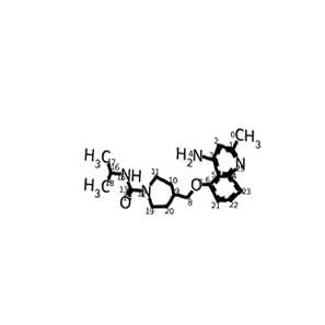 Cc1cc(N)c2c(OCC3CCN(C(=O)NC(C)C)CC3)cccc2n1